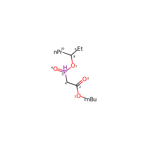 CCCCOC(=O)C[PH](=O)OC(CC)CCC